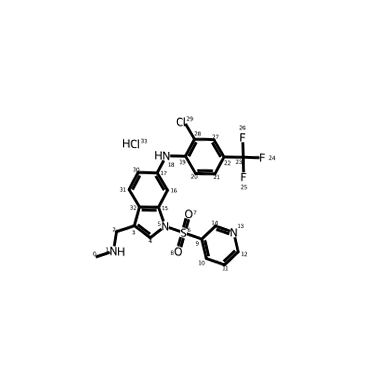 CNCc1cn(S(=O)(=O)c2cccnc2)c2cc(Nc3ccc(C(F)(F)F)cc3Cl)ccc12.Cl